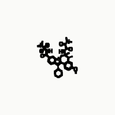 COc1ccc2c(c1)[C@H](C)[C@@](C)(NC(=O)C(=O)N(C)C)Cn1c-2c(C2CCCCC2)c2ccc(C(=O)NS(=O)(=O)N(C)C)cc21